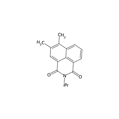 Cc1cc2c3c(cccc3c1C)C(=O)N(C(C)C)C2=O